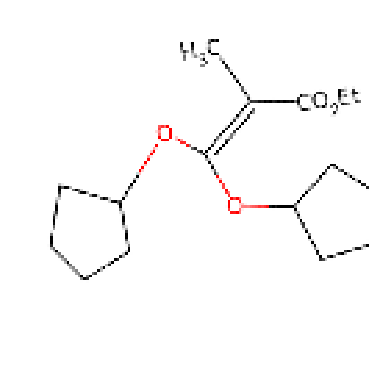 CCOC(=O)C(C)=C(OC1CCCC1)OC1CCCC1